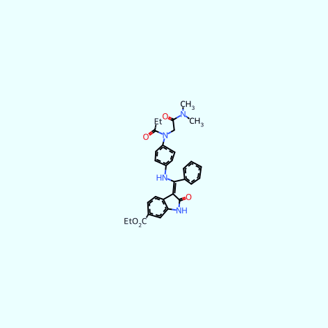 CCOC(=O)c1ccc2c(c1)NC(=O)C2=C(Nc1ccc(N(CC(=O)N(C)C)C(=O)CC)cc1)c1ccccc1